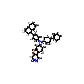 c1ccc(-c2ccc(N(c3ccc(-c4cccc5ccccc45)cc3)c3ccc4c(c3)sc3ccncc34)cc2)cc1